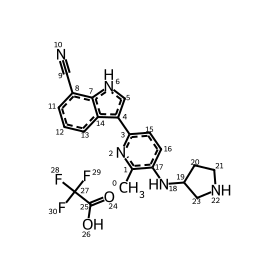 Cc1nc(-c2c[nH]c3c(C#N)cccc23)ccc1NC1CCNC1.O=C(O)C(F)(F)F